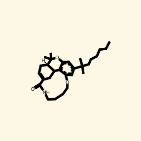 CCCCCCC(C)(C)c1cc2c3c(c1)OC(C)(C)[C@@H]1CC=C(CC31)C(=O)NCCCCO2